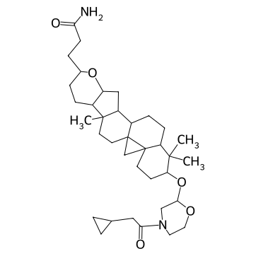 CC1(C)C(OC2CN(C(=O)CC3CC3)CCO2)CCC23CC24CCC2(C)C5CCC(CCC(N)=O)OC5CC2C4CCC13